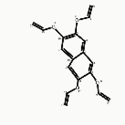 C=COc1cc2cc(OC=C)c(OC=C)cc2cc1OC=C